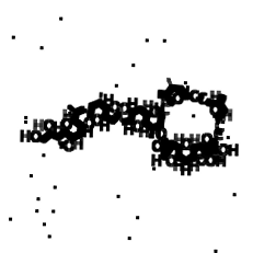 C=C1C[C@@H]2CC[C@]34OC5[C@@H]6O[C@H]7CC[C@H](CC(=O)O[C@@H]8[C@@H](C)[C@@H]9O[C@@H]%10C[C@@]%11(C[C@@H]%12O[C@]%13(C[C@H](C)[C@@H]%14O[C@@H]%15[C@@H]([C@@H](O)CO)CO[C@@H]%15C[C@@H]%14O%13)C[C@H](C)[C@@H]%12O%11)O[C@@H]%10C[C@@H]9O[C@H]8C[C@H]8O[C@@H](CC[C@@H]1O2)C[C@@H](C)C8=C)O[C@@H]7[C@H](O3)[C@@H]6O[C@@]5(O)[C@H]4O